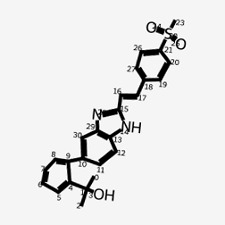 CC(C)(O)c1ccccc1-c1ccc2[nH]c(C=Cc3ccc(S(C)(=O)=O)cc3)nc2c1